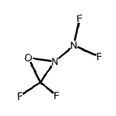 FN(F)N1OC1(F)F